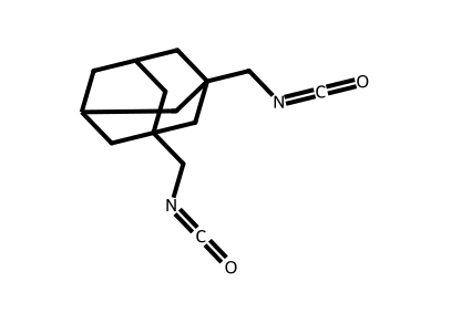 O=C=NCC12CC3CC(C1)CC(CN=C=O)(C3)C2